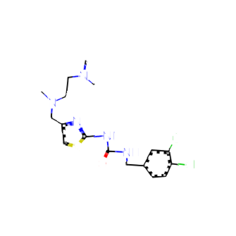 CN(C)CCN(C)Cc1csc(NC(=O)NCc2ccc(Cl)c(Cl)c2)n1